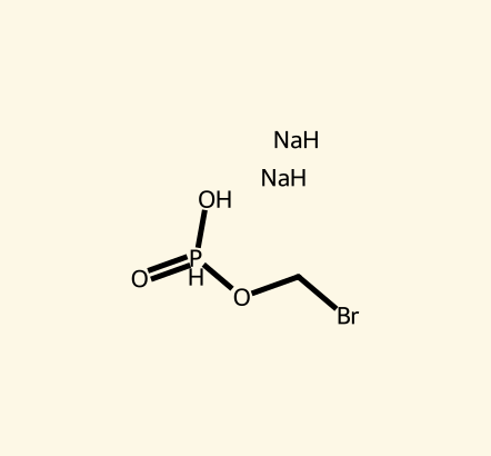 O=[PH](O)OCBr.[NaH].[NaH]